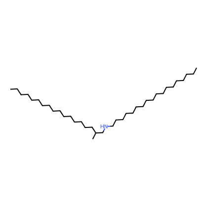 CCCCCCCCCCCCCCCCCCNCC(C)CCCCCCCCCCCCCCCC